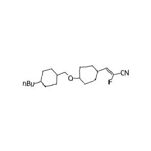 CCCCC1CCC(COC2CCC(C=C(F)C#N)CC2)CC1